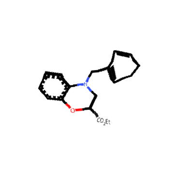 CCOC(=O)C1CN(CC2=CCCC=C2)c2ccccc2O1